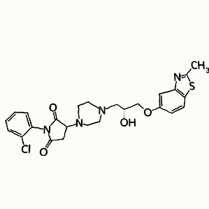 Cc1nc2cc(OC[C@H](O)CN3CCN(C4CC(=O)N(c5ccccc5Cl)C4=O)CC3)ccc2s1